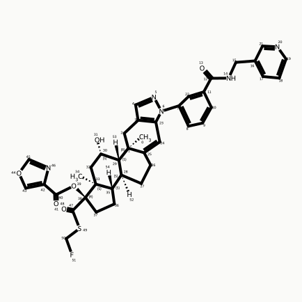 C[C@]12Cc3cnn(-c4cccc(C(=O)NCc5cccnc5)c4)c3C=C1CC[C@@H]1[C@@H]2[C@@H](O)C[C@@]2(C)[C@H]1CC[C@]2(OC(=O)c1cocn1)C(=O)SCF